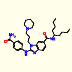 CCCCC(CCCC)NC(=O)c1ccc2nc(Nc3ccc(C(N)=O)cc3)n(CCCN3CCCCC3)c2c1